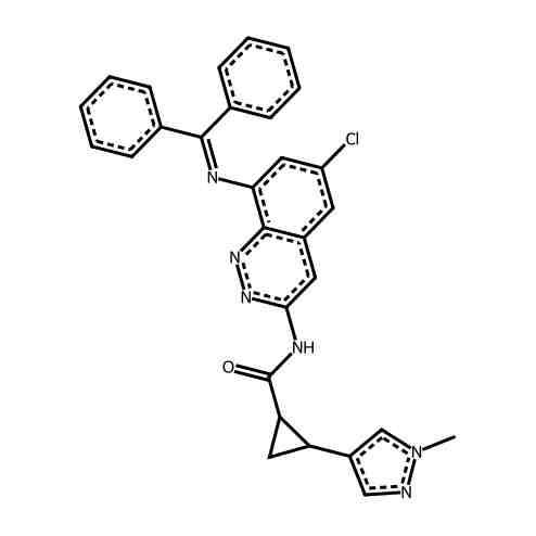 Cn1cc(C2CC2C(=O)Nc2cc3cc(Cl)cc(N=C(c4ccccc4)c4ccccc4)c3nn2)cn1